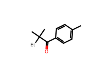 CCC(C)(C)C(=O)c1ccc(C)cc1